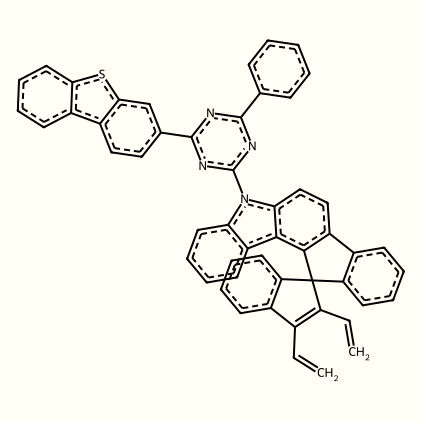 C=CC1=C(C=C)C2(c3ccccc31)c1ccccc1-c1ccc3c(c12)c1ccccc1n3-c1nc(-c2ccccc2)nc(-c2ccc3c(c2)sc2ccccc23)n1